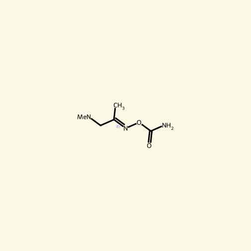 CNC/C(C)=N/OC(N)=O